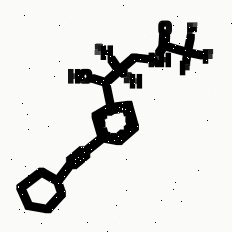 [2H]C([2H])(CNC(=O)C(F)(F)F)C(O)c1cccc(C#CC2CCCCC2)c1